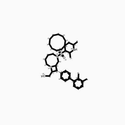 Cc1cccc(-c2ccc([C@@H]3C(CO)N4CCCCN(S(=O)(=O)C5C(C)NC(C)CC56CCCCCCCCC6)CC34)cc2)c1C